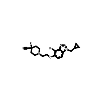 N#CC1(F)CCN(CCOc2ccc3c(nnn3CC3CC3)c2Br)CC1